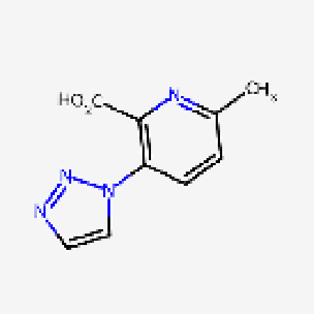 Cc1ccc(-n2ccnn2)c(C(=O)O)n1